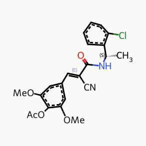 COc1cc(/C=C(\C#N)C(=O)N[C@@H](C)c2ccccc2Cl)cc(OC)c1OC(C)=O